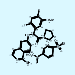 CCS(=O)(=O)c1ccc(N(C)C(=O)O)cc1[C@H]1CCCN1C(=O)[C@@H](Nc1ccc2c(N)nccc2c1)c1cc(OC)c(C)cc1F